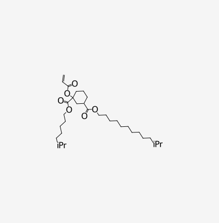 C=CC(=O)OC1(C(=O)OCCCCCC(C)C)CCCC(C(=O)OCCCCCCCCCCC(C)C)C1